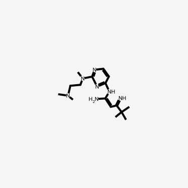 CN(C)CCN(C)c1nccc(N/C(N)=C\C(=N)C(C)(C)C)n1